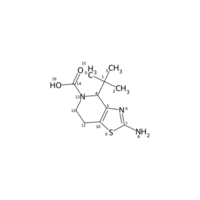 CC(C)(C)C1c2nc(N)sc2CCN1C(=O)O